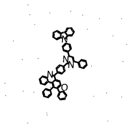 c1ccc(-c2cc(-c3ccc(-n4c5ccccc5c5ccccc54)cc3)nc(-c3ccc(-c4nc5ccccc5c5c(-c6ccccc6)c6c(cc45)oc4ccccc46)cc3)n2)cc1